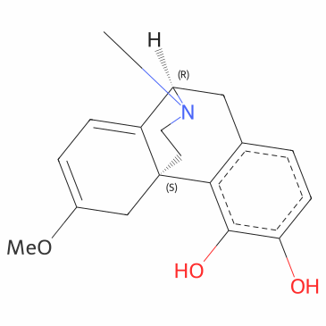 COC1=CC=C2[C@H]3Cc4ccc(O)c(O)c4[C@@]2(CCN3C)C1